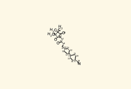 CN1C(=O)N(CC(=O)CSc2ccc(-c3ccc(C#N)cc3)cc2)C(=O)C1(C)C